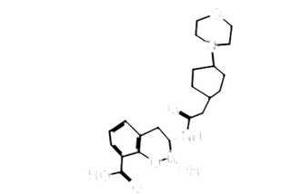 O=C(CC1CCC(N2CCOCC2)CC1)N[C@H]1Cc2cccc(C(=O)O)c2OB1O